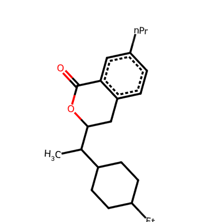 CCCc1ccc2c(c1)C(=O)OC(C(C)C1CCC(CC)CC1)C2